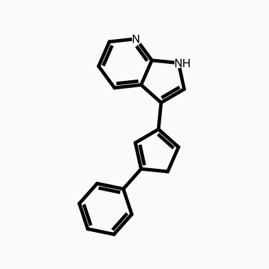 C1=C(c2ccccc2)CC=C1c1c[nH]c2ncccc12